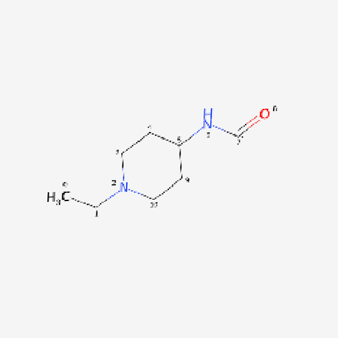 CCN1CCC(N[C]=O)CC1